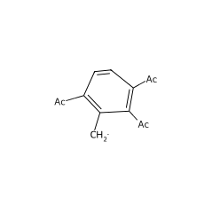 [CH2]c1c(C(C)=O)ccc(C(C)=O)c1C(C)=O